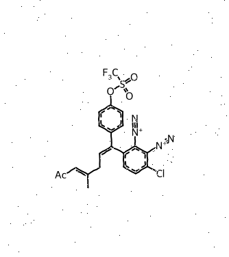 CC(=O)C=C(C)CC=C(c1ccc(OS(=O)(=O)C(F)(F)F)cc1)c1ccc(Cl)c([N+]#N)c1[N+]#N